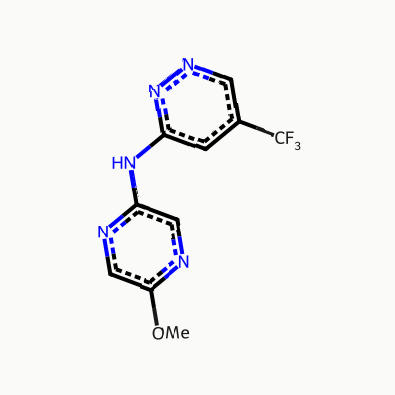 COc1cnc(Nc2cc(C(F)(F)F)cnn2)cn1